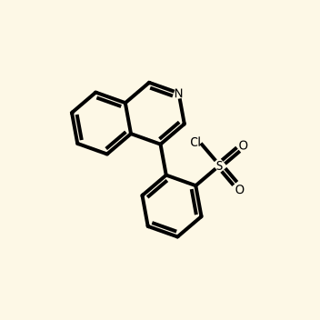 O=S(=O)(Cl)c1ccccc1-c1cncc2ccccc12